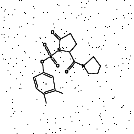 Cc1ccc(OS(=O)(=O)N2C(=O)CCC2C(=O)N2CCCC2)cc1C